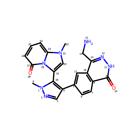 Cn1ncc(-c2ccc3c(=O)[nH]nc(CN)c3c2)c1-c1cn(C)c2cccc(=O)n12